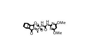 COc1cc(OC)nc(NC(=O)NS(=O)(=O)N(C)N2C(=O)C3C4C=CC(O4)C3C2=O)n1